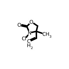 C=CC1(C)COC(=O)N1Cl